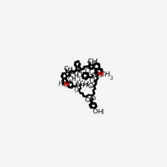 CCC1CC(CC(O)CCCC2CC(CCCC3CC(C)OC(c4ccc(O)cc4)O3)OC(c3ccc(O)cc3)O2)OC(c2ccc(OC3=C(/C=C/C4=[N+](C)c5ccc6ccccc6c5C4(C)C)c4ccccc4/C3=C\C=C3\N(C)c4ccc5ccccc5c4C3(C)C)cc2)O1